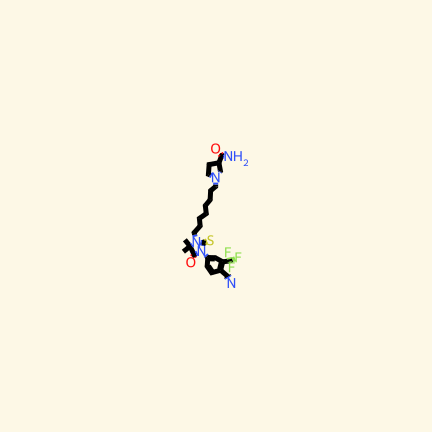 CC1(C)C(=O)N(c2ccc(C#N)c(C(F)(F)F)c2)C(=S)N1CCCCCCCCN1CCC(C(N)=O)C1